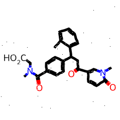 Cc1ccccc1C(CC(=O)c1ccc(=O)n(C)c1)c1ccc(C(=O)N(C)CC(=O)O)cc1